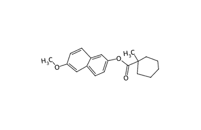 COc1ccc2cc(OC(=O)C3(C)CCCCC3)ccc2c1